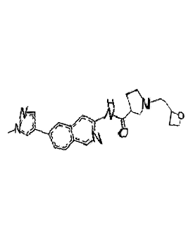 Cn1cc(-c2ccc3cnc(NC(=O)C4CCN(CC5CCO5)C4)cc3c2)cn1